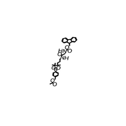 CC(=O)OCc1ccc(B2OC(C)(C)C(C)(CCCNC(=O)CNC(=O)OCC3c4ccccc4-c4ccccc43)O2)cc1